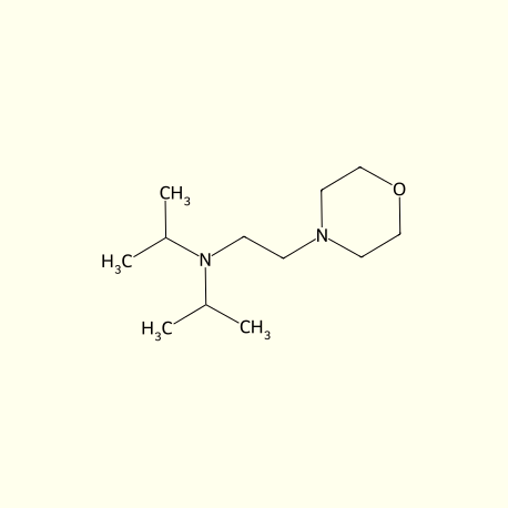 CC(C)N(CCN1CCOCC1)C(C)C